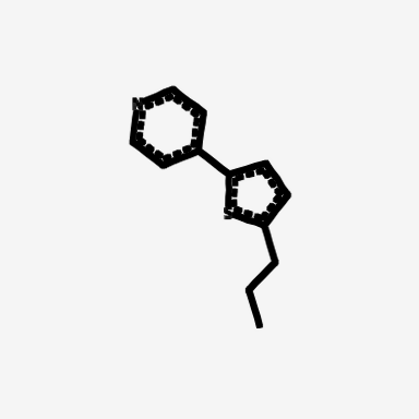 CCCc1ccc(-c2ccncc2)s1